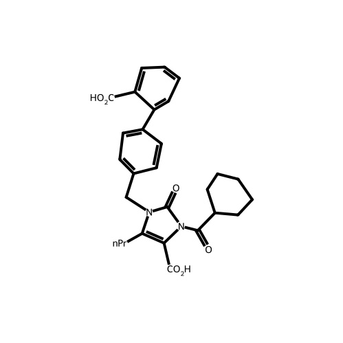 CCCc1c(C(=O)O)n(C(=O)C2CCCCC2)c(=O)n1Cc1ccc(-c2ccccc2C(=O)O)cc1